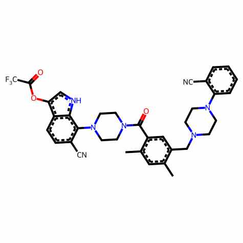 Cc1cc(C)c(C(=O)N2CCN(c3c(C#N)ccc4c(OC(=O)C(F)(F)F)c[nH]c34)CC2)cc1CN1CCN(c2ccccc2C#N)CC1